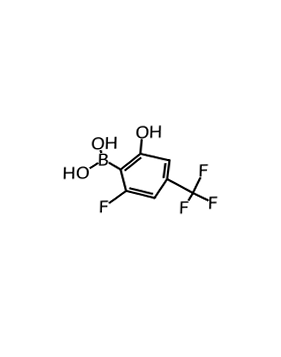 OB(O)c1c(O)cc(C(F)(F)F)cc1F